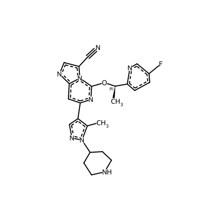 Cc1c(-c2cc3ncc(C#N)n3c(O[C@H](C)c3ccc(F)cn3)n2)cnn1C1CCNCC1